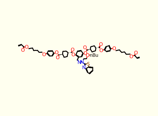 C=CC(=O)OCCCCCCOc1ccc(OC(=O)[C@H]2CC[C@H](C(=O)Oc3ccc(OC(=O)[C@H]4CC[C@H](C(=O)Oc5ccc(OCCCCCCOC(=O)C=C)cc5)CC4)c(/C=N\N(CCOCCCC)c4nc5ccccc5s4)c3)CC2)cc1